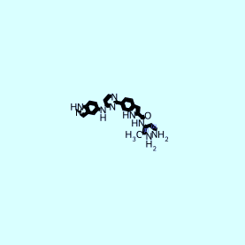 C/C(N)=C(/C=C\N)NC(=O)c1cc2ccc(-c3nccc(Nc4ccc5[nH]ncc5c4)n3)cc2[nH]1